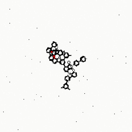 Cc1cc(C)cc(-c2ccc3c(c2)c2ccccc2n3-c2ccc(-c3cc(-c4cc(C)cc(C)c4)c4c(c3)c3cccc(-c5cc(C)cc(C)c5)c3n4-c3cccc4c3C(=O)N(c3c(-c5ccccc5)cccc3-c3ccccc3)C4=O)c3c2C(=O)N(c2ccc(-c4ccccc4)cc2)C3=O)c1